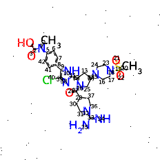 CN(C(=O)O)c1ccc(-c2[nH]c([C@@H]3C[C@H](N4CCN(S(C)(=O)=O)CC4)CN3C(=O)C3CCN(C(=N)N)CC3)nc2Cl)cc1